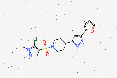 Cn1nc(-c2ccco2)cc1C1CCN(S(=O)(=O)c2cnn(C)c2Cl)CC1